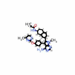 C=CC(=O)NC1CCc2ccc(-c3c(-c4ccc(Oc5nccc(C)n5)cc4)c4c(N)ncnc4n3C)cc2C1